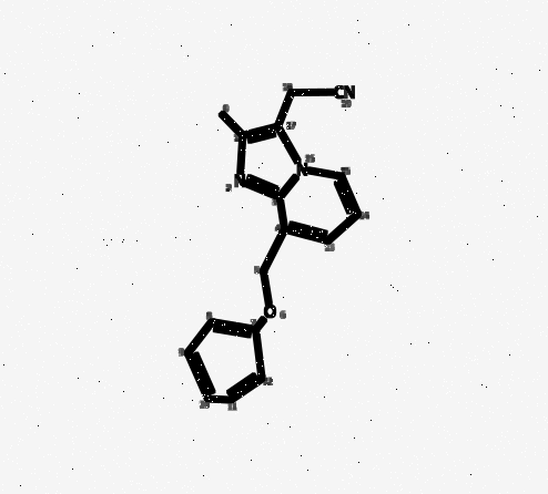 Cc1nc2c(COc3ccccc3)cccn2c1CC#N